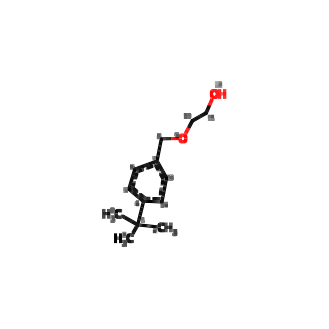 CC(C)(C)c1ccc(COCCO)cc1